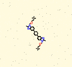 Cc1nc2cc(C3C=CC(c4ccc5c(c4)nc(C)n5COCC[Si](C)(C)C)CC3)ccc2n1COCC[Si](C)(C)C